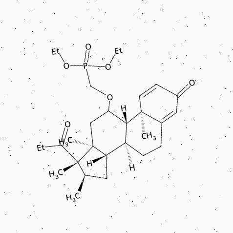 CCOP(=O)(COC1C[C@@]2(C)[C@@H](C[C@@H](C)[C@]2(C)C(=O)CC)[C@@H]2CCC3=CC(=O)C=C[C@]3(C)[C@@H]12)OCC